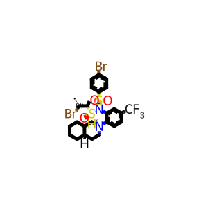 CC([C@@H](C)Br)[SH](C)(=O)N(c1cc(C(F)(F)F)ccc1N1CC[C@@H]2CCCCC2C1)S(=O)(=O)c1ccc(Br)cc1